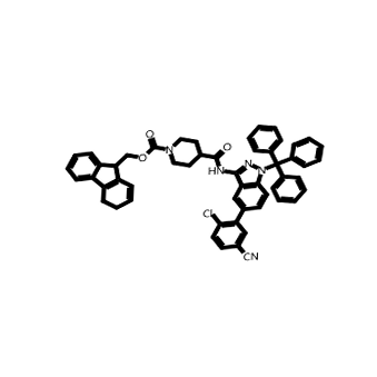 N#Cc1ccc(Cl)c(-c2ccc3c(c2)c(NC(=O)C2CCN(C(=O)OCC4C5=C(CCC=C5)c5ccccc54)CC2)nn3C(c2ccccc2)(c2ccccc2)c2ccccc2)c1